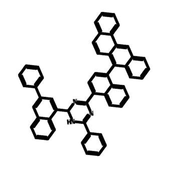 c1ccc(C2=NC(c3ccc(-c4c5ccccc5cc5c4ccc4ccccc45)c4ccccc34)=NC(c3cc(-c4ccccc4)cc4ccccc34)N2)cc1